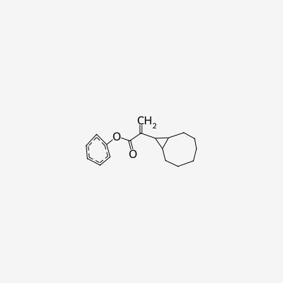 C=C(C(=O)Oc1ccccc1)C1C2CCCCCCC21